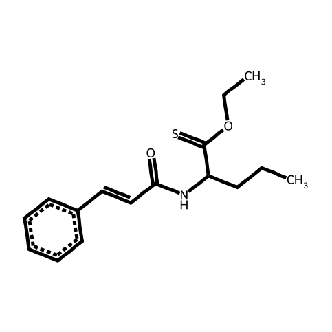 CCCC(NC(=O)C=Cc1ccccc1)C(=S)OCC